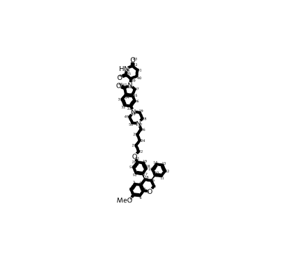 COc1ccc2c(c1)OC[C@H](c1ccccc1)[C@@H]2c1ccc(OCCCCCN2CCN(c3ccc4c(c3)CN(C3CCC(=O)NC3=O)C4=O)CC2)cc1